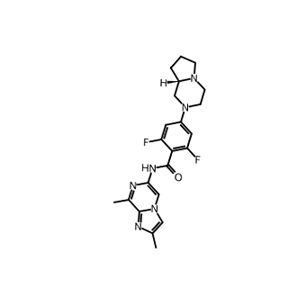 Cc1cn2cc(NC(=O)c3c(F)cc(N4CCN5CCC[C@H]5C4)cc3F)nc(C)c2n1